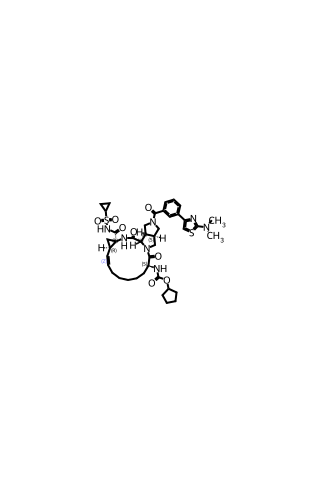 CN(C)c1nc(-c2cccc(C(=O)N3C[C@H]4CN5C(=O)[C@@H](NC(=O)OC6CCCC6)CCCCC/C=C\[C@H]6C[C@@]6(C(=O)NS(=O)(=O)C6CC6)NC(=O)[C@@H]5[C@H]4C3)c2)cs1